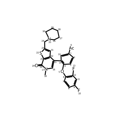 CC(=O)c1ccc(Oc2ccc(F)cc2F)c(-c2cn(C)c(=O)c3sc(CN4CCCCC4)cc23)c1